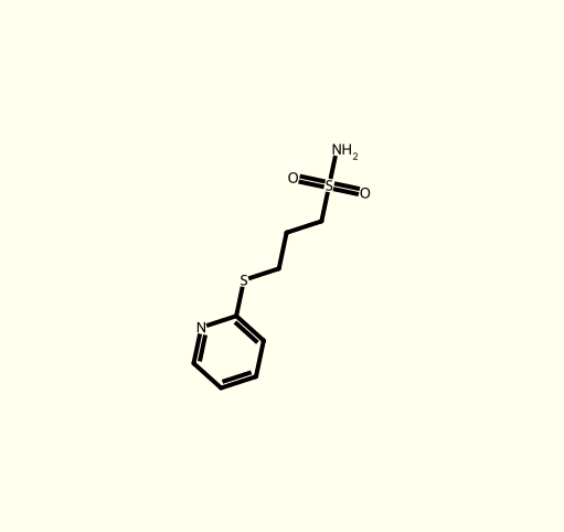 NS(=O)(=O)CCCSc1ccccn1